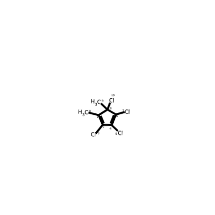 CC1=C(Cl)C(Cl)=C(Cl)C1(C)Cl